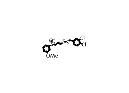 COc1cccc([S+]([O-])C/C=C/SSCc2ccc(Cl)c(Cl)c2)c1